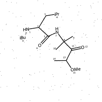 CC[C@@H](C)NC(CC(C)C)C(=O)NC(C)(C)C(=O)C(C)OC